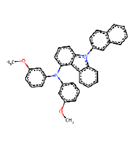 COc1cccc(N(c2cccc(OC)c2)c2cccc3c2c2ccccc2n3-c2ccc3ccccc3c2)c1